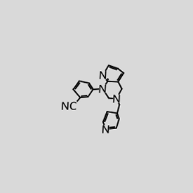 N#Cc1cccc(N2CN(Cc3ccncc3)Cc3cccnc32)c1